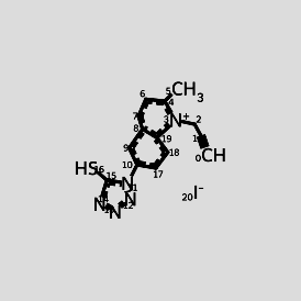 C#CC[n+]1c(C)ccc2cc(-n3nnnc3S)ccc21.[I-]